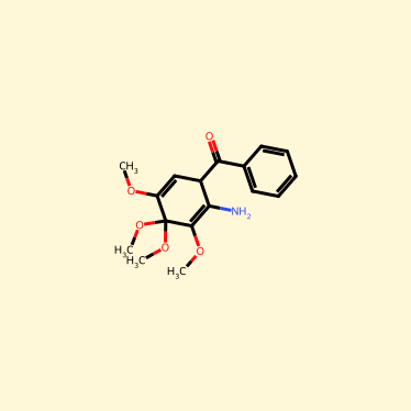 COC1=CC(C(=O)c2ccccc2)C(N)=C(OC)C1(OC)OC